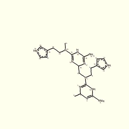 CNC1=NC(C)N=C(N(CCc2cc[nH]c2)CC2N=C(N)NC(N(C)CCc3cc[nH]c3)=N2)N1